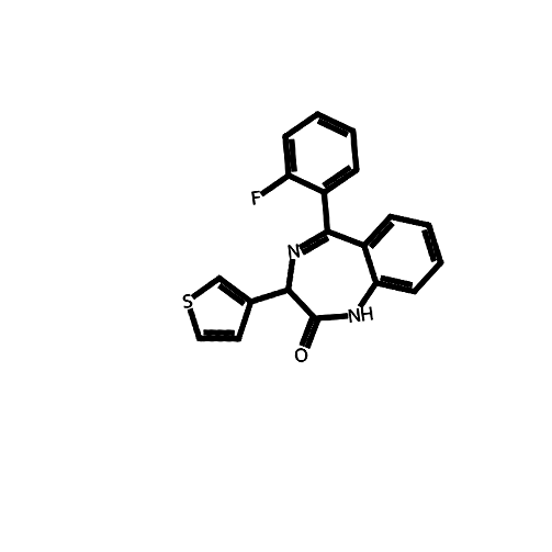 O=C1Nc2ccccc2C(c2ccccc2F)=NC1c1ccsc1